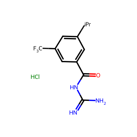 CC(C)c1cc(C(=O)NC(=N)N)cc(C(F)(F)F)c1.Cl